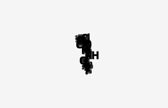 O=C(CCNc1ccc(-c2cc(-c3c(Cl)cccc3Cl)no2)nc1)c1ccc(F)cc1